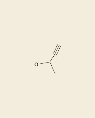 C#CC(C)[O]